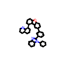 c1ccc(-n2c(-c3cccc(-c4ccc5oc6cccc(-c7cccc8cccnc78)c6c5c4)c3)nc3ccccc32)cc1